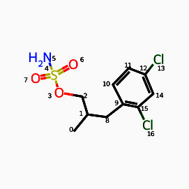 CC(COS(N)(=O)=O)Cc1ccc(Cl)cc1Cl